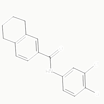 O=C(Nc1ccc(Cl)c(Cl)c1)c1ccc2c(c1)CCCC2